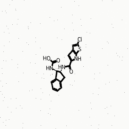 O=C(O)N[C@@H]1c2ccccc2C[C@H]1NC(=O)c1cc2cc(Cl)sc2[nH]1